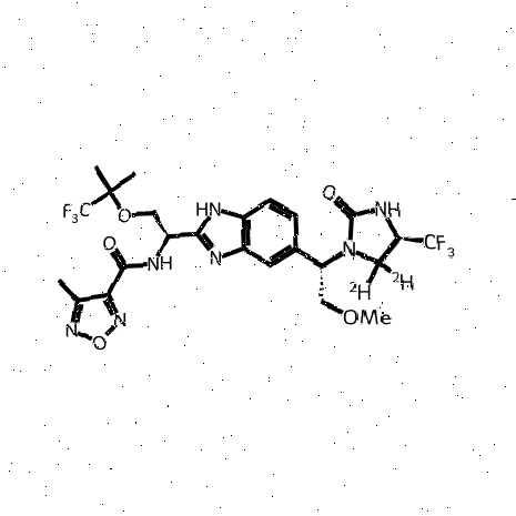 [2H]C1([2H])[C@H](C(F)(F)F)NC(=O)N1[C@H](COC)c1ccc2[nH]c([C@H](COC(C)(C)C(F)(F)F)NC(=O)c3nonc3C)nc2c1